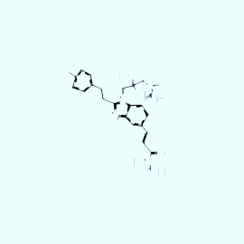 CN(C)CC(C)(C)Cn1c(CCc2ccc(F)cc2)nc2cc(C=CC(=O)NO)ccc21